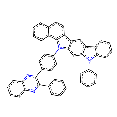 c1ccc(-c2nc3ccccc3nc2-c2ccc(-n3c4cc5c(cc4c4ccc6ccccc6c43)c3ccccc3n5-c3ccccc3)cc2)cc1